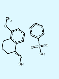 COc1cccc2c1CCCC2=NO.O=S(=O)(O)c1ccccc1